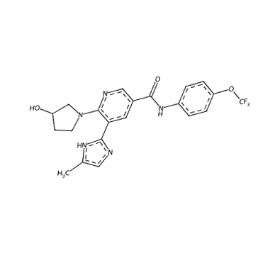 Cc1cnc(-c2cc(C(=O)Nc3ccc(OC(F)(F)F)cc3)cnc2N2CCC(O)C2)[nH]1